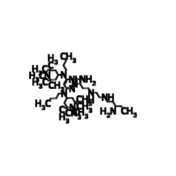 CCCCN(C1=CC(N(CCCC)C2CC(C)(C)N(C)C(C)(C)C2)=NN(C(N)CCNCCNCCC(N)CC)N1)C1CC(C)(C)N(C)C(C)(C)C1